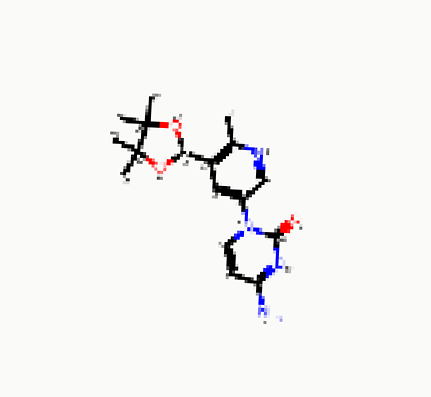 Cc1ncc(-n2ccc(N)nc2=O)cc1B1OC(C)(C)C(C)(C)O1